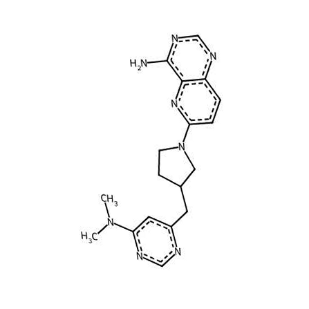 CN(C)c1cc(CC2CCN(c3ccc4ncnc(N)c4n3)C2)ncn1